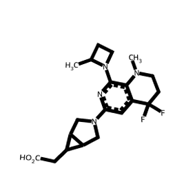 CC1CCN1c1nc(N2CC3C(CC(=O)O)C3C2)cc2c1N(C)CCC2(F)F